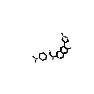 Cn1cc(-c2cc3cc(NC(=O)[C@H]4CC[C@H](N(C)C)CC4)ncc3cc2F)cn1